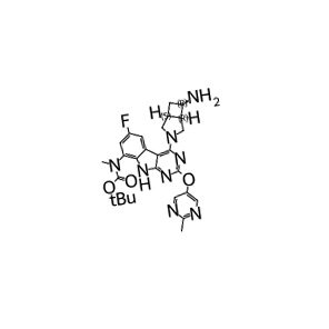 Cc1ncc(Oc2nc(N3C[C@H]4C[C@@H](N)[C@H]4C3)c3c(n2)[nH]c2c(N(C)C(=O)OC(C)(C)C)cc(F)cc23)cn1